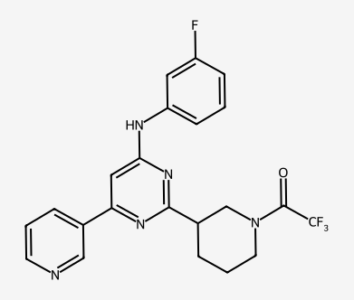 O=C(N1CCCC(c2nc(Nc3cccc(F)c3)cc(-c3cccnc3)n2)C1)C(F)(F)F